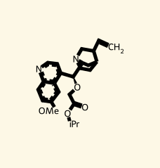 C=CC1CN2CCC1CC2[C@@H](OCC(=O)OC(C)C)c1ccnc2ccc(OC)cc12